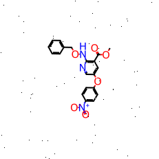 COC(=O)c1cc(Oc2ccc([N+](=O)[O-])cc2)cnc1NOCc1ccccc1